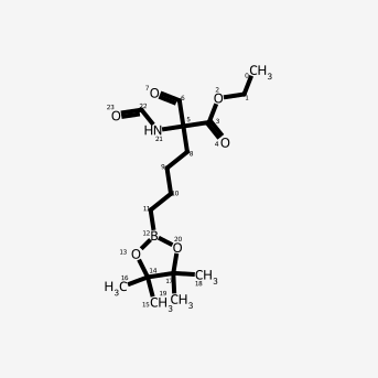 CCOC(=O)C(C=O)(CCCCB1OC(C)(C)C(C)(C)O1)NC=O